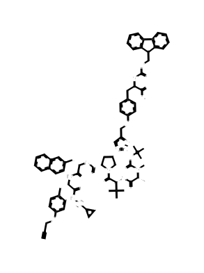 C#CCOc1ccc(C[C@H](NC(=O)[C@H](Cc2ccc3ccccc3c2)NC(=O)[C@@H]2C[C@H](n3cc(COc4ccc(CC(NC(=O)OCC5c6ccccc6-c6ccccc65)C(=O)O)cc4)nn3)CN2C(=O)[C@@H](NC(=O)[C@H](C)N(C)C(=O)OC(C)(C)C)C(C)(C)C)C(=O)NS(=O)(=O)C2CC2)cc1